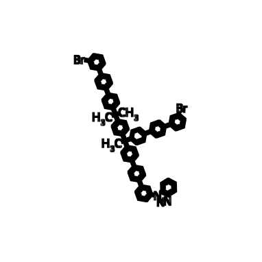 CC(C)(c1ccc(-c2ccc(-c3cccc(Br)c3)cc2)cc1)c1ccc(C(C)(c2ccc(-c3ccc(-c4cccc(-n5nnc6ccccc65)c4)cc3)cc2)C2C=CC(c3ccc(-c4cccc(Br)c4)cc3)=CC2)cc1